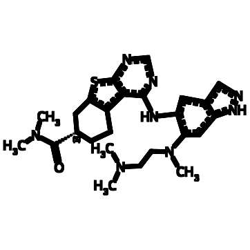 CN(C)CCN(C)c1cc2[nH]ncc2cc1Nc1ncnc2sc3c(c12)CC[C@H](C(=O)N(C)C)C3